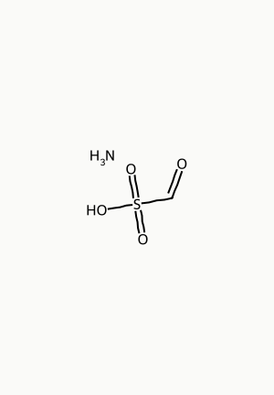 N.O=CS(=O)(=O)O